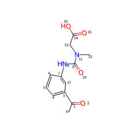 CC(=O)c1cccc(NC(=O)N(C)CC(=O)O)c1